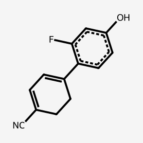 N#CC1=CC=C(c2ccc(O)cc2F)CC1